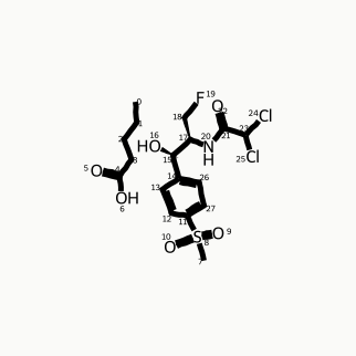 CCCCC(=O)O.CS(=O)(=O)c1ccc([C@@H](O)[C@@H](CF)NC(=O)C(Cl)Cl)cc1